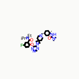 CCN(C(=O)c1cc(F)ccc1Oc1nncnc1N1CC2(CCN(C[C@H]3CC[C@](C)(NC(=O)N(C)C)CC3)CC2)C1)C(C)C